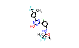 Cc1cc(-c2nc(O)nc(-c3cc(CNC(=O)C(C)(C)C(F)(F)F)ccc3Cl)n2)ccc1C(F)(F)F